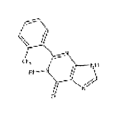 CCn1c(-c2ccccc2C(F)(F)F)nc2[nH]cnc2c1=O